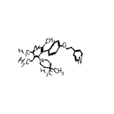 CCc1c(C)nc(C)c(-c2ccc(OCCc3ccncc3)cc2)c1N1CCC(C)(C)CC1